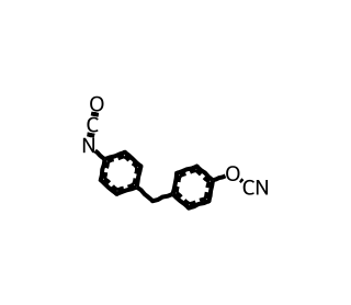 N#COc1ccc(Cc2ccc(N=C=O)cc2)cc1